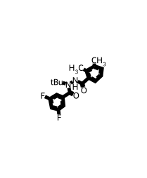 Cc1cccc(C(=O)NN(C(=O)c2cc(F)cc(F)c2)C(C)(C)C)c1C